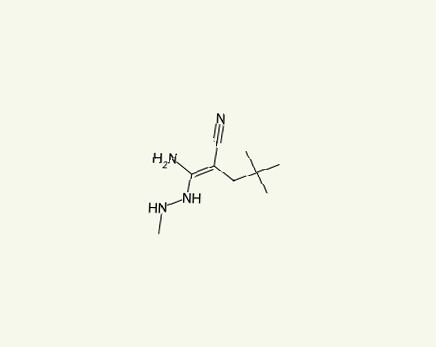 CNN/C(N)=C(/C#N)CC(C)(C)C